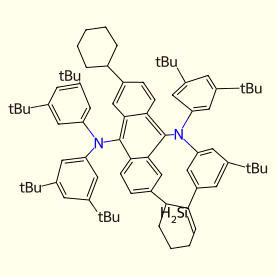 C[SiH2]c1cc(N(c2cc(C(C)(C)C)cc(C(C)(C)C)c2)c2c3ccc(C4CCCCC4)cc3c(N(c3cc(C(C)(C)C)cc(C(C)(C)C)c3)c3cc(C(C)(C)C)cc(C(C)(C)C)c3)c3ccc(C4CCCCC4)cc23)cc(C(C)(C)C)c1